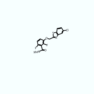 CNC(=O)c1c(F)ccc(OCc2nc3cc(Cl)ccc3s2)c1F